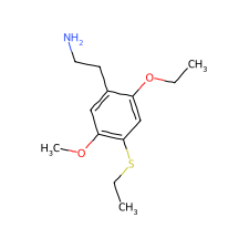 CCOc1cc(SCC)c(OC)cc1CCN